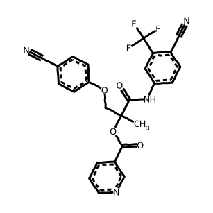 CC(COc1ccc(C#N)cc1)(OC(=O)c1cccnc1)C(=O)Nc1ccc(C#N)c(C(F)(F)F)c1